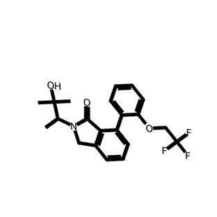 CC(N1Cc2cccc(-c3ccccc3OCC(F)(F)F)c2C1=O)C(C)(C)O